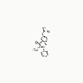 CCN(CC)Cc1ccc2oc(-c3ccccc3)c(C)c(=O)c2c1